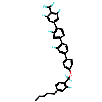 CCCCCc1ccc(C(F)(F)Oc2ccc(-c3ccc(-c4ccc(-c5cc(F)c(C(F)F)c(F)c5)c(F)c4)c(F)c3)cc2)c(F)c1